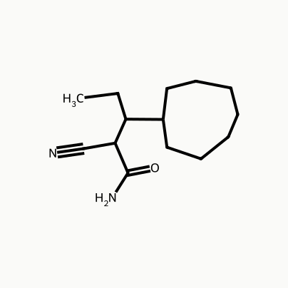 CCC(C1CCCCCCC1)C(C#N)C(N)=O